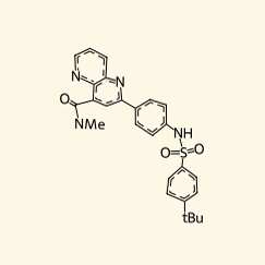 CNC(=O)c1cc(-c2ccc(NS(=O)(=O)c3ccc(C(C)(C)C)cc3)cc2)nc2cccnc12